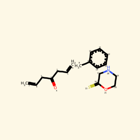 C=CCC(=O)CC=C.Cc1ccccc1.S=C1CNCCO1